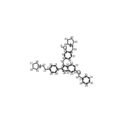 COc1cc(Cc2c(-c3ccc(CCN4CCCC4)cc3)sc3cc(OCc4ccccc4)ccc23)ccc1CN1CCCC1